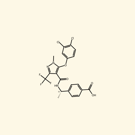 C[C@H](NC(=O)c1c(C(F)(F)F)nn(C)c1Oc1ccc(Cl)c(Cl)c1)c1ccc(C(=O)O)cc1